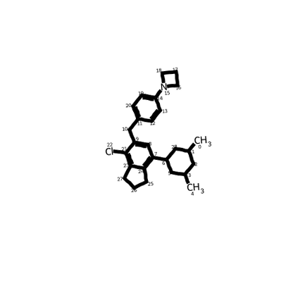 CC1CC(C)CC(c2cc(Cc3ccc(N4CCC4)cc3)c(Cl)c3c2CCC3)C1